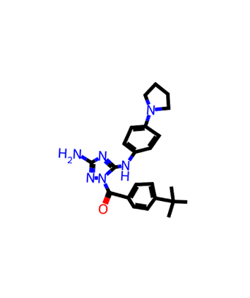 CC(C)(C)c1ccc(C(=O)n2nc(N)nc2Nc2ccc(N3CCCC3)cc2)cc1